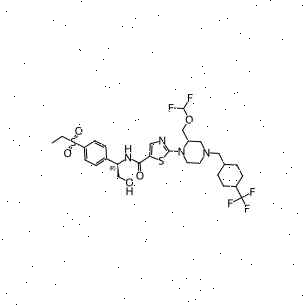 CCS(=O)(=O)c1ccc([C@H](CO)NC(=O)c2cnc(N3CCN(CC4CCC(C(F)(F)F)CC4)CC3COC(F)F)s2)cc1